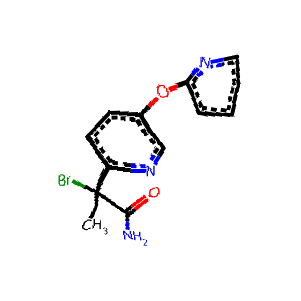 CC(Br)(C(N)=O)c1ccc(Oc2ccccn2)cn1